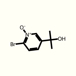 CC(C)(O)c1ccc(Br)[n+]([O-])c1